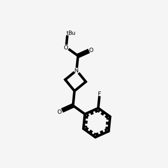 CC(C)(C)OC(=O)N1CC(C(=O)c2ccccc2F)C1